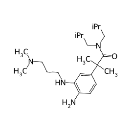 CC(C)CN(CC(C)C)C(=O)C(C)(C)c1ccc(N)c(NCCCN(C)C)c1